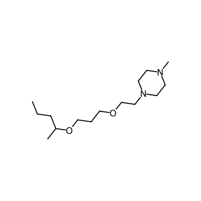 CCCC(C)OCCCOCCN1CCN(C)CC1